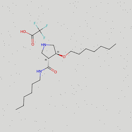 CCCCCCCO[C@@H]1CNC[C@H]1C(=O)NCCCCCC.O=C(O)C(F)(F)F